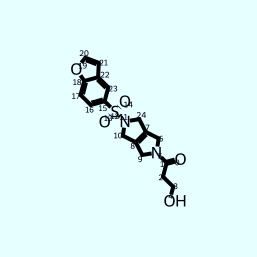 O=C(CCO)N1CC2=C(C1)CN(S(=O)(=O)c1ccc3occc3c1)C2